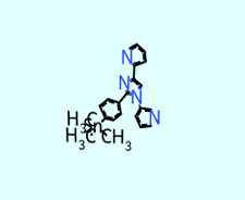 [CH3][Sn]([CH3])([CH3])[c]1ccc(-c2nc(-c3ccccn3)cn2-c2cccnc2)cc1